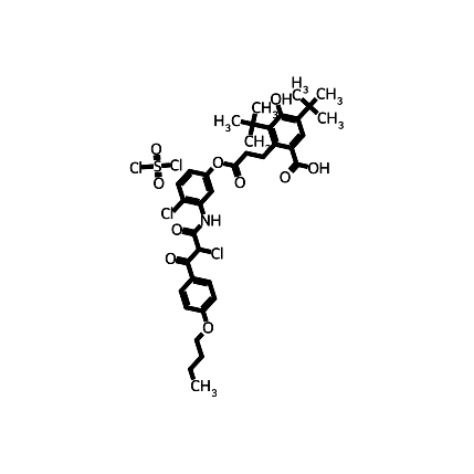 CCCCOc1ccc(C(=O)C(Cl)C(=O)Nc2cc(OC(=O)CCc3c(C(=O)O)cc(C(C)(C)C)c(O)c3C(C)(C)C)ccc2Cl)cc1.O=S(=O)(Cl)Cl